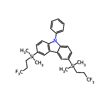 C[Si](C)(CCC(F)(F)F)c1ccc2c(c1)c1cc([Si](C)(C)CCC(F)(F)F)ccc1n2-c1ccccc1